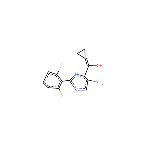 Nc1cnc(-c2c(F)cccc2F)nc1C(O)=C1CC1